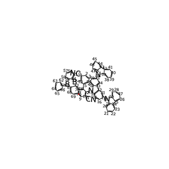 N#Cc1cccc(-c2cccc(C#N)c2-n2c3ccc(-n4c5ccccc5c5ccccc54)cc3c3cc(-n4c5ccccc5c5ccccc54)ccc32)c1B1c2ccccc2B(c2ccccc2)c2ccccc21